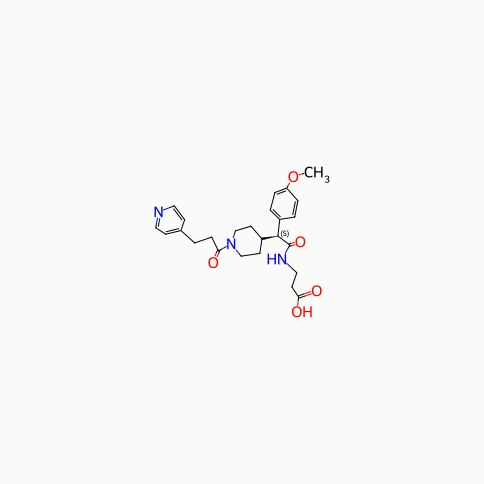 COc1ccc([C@@H](C(=O)NCCC(=O)O)C2CCN(C(=O)CCc3ccncc3)CC2)cc1